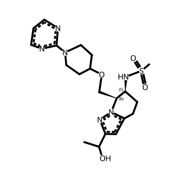 CC(O)c1cc2n(n1)[C@@H](COC1CCN(c3ncccn3)CC1)[C@@H](NS(C)(=O)=O)CC2